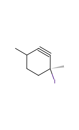 CC1C#C[C@@](C)(I)CC1